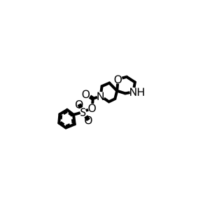 O=C(OS(=O)(=O)c1ccccc1)N1CCC2(CC1)CNCCO2